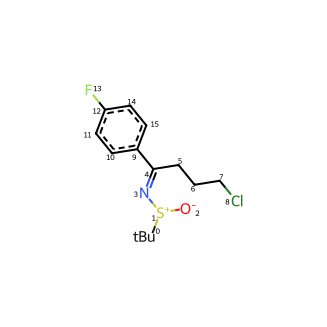 CC(C)(C)[S+]([O-])/N=C(\CCCCl)c1ccc(F)cc1